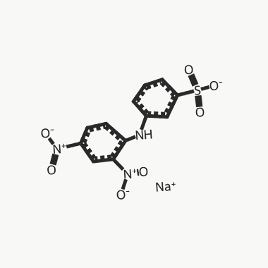 O=[N+]([O-])c1ccc(Nc2cccc(S(=O)(=O)[O-])c2)c([N+](=O)[O-])c1.[Na+]